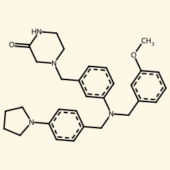 COc1cccc(CN(Cc2ccc(N3CCCC3)cc2)c2cccc(CN3CCNC(=O)C3)c2)c1